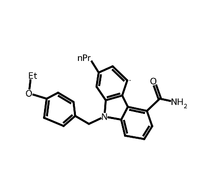 CCCc1c[c]c2c3c(C(N)=O)cccc3n(Cc3ccc(OCC)cc3)c2c1